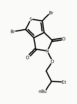 CCCCC(CC)CON1C(=O)c2c(Br)sc(Br)c2C1=O